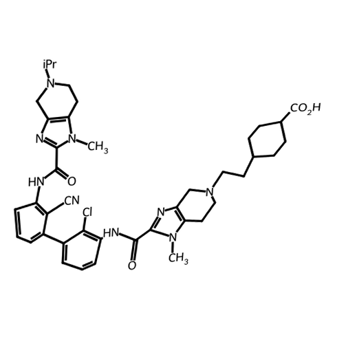 CC(C)N1CCc2c(nc(C(=O)Nc3cccc(-c4cccc(NC(=O)c5nc6c(n5C)CCN(CCC5CCC(C(=O)O)CC5)C6)c4Cl)c3C#N)n2C)C1